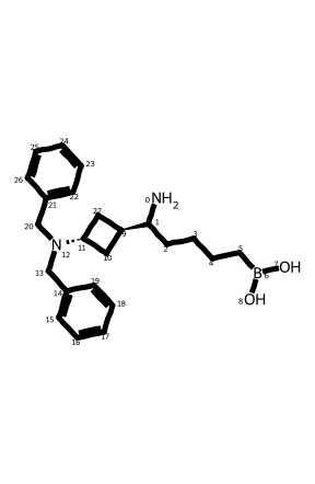 NC(CCCCB(O)O)[C@H]1C[C@H](N(Cc2ccccc2)Cc2ccccc2)C1